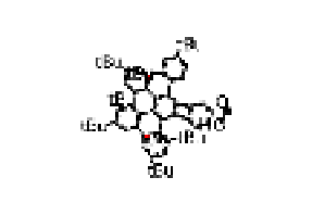 CC(C)(C)c1ccc(-c2c(-c3ccc(C(C)(C)C)cc3C(C)(C)C)c(-c3ccc(C(C)(C)C)cc3C(C)(C)C)c3c(c2-c2ccc(C(C)(C)C)cc2C(C)(C)C)=c2ccccc2=3)c(C(C)(C)C)c1.O=PO